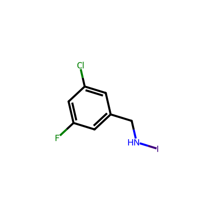 Fc1cc(Cl)cc(CNI)c1